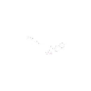 COC(=O)[C@@H]1[C@H](c2ccccc2)CCN1C(=O)[C@H]1CC[C@H](CNC(=O)OC(C)(C)C)CC1